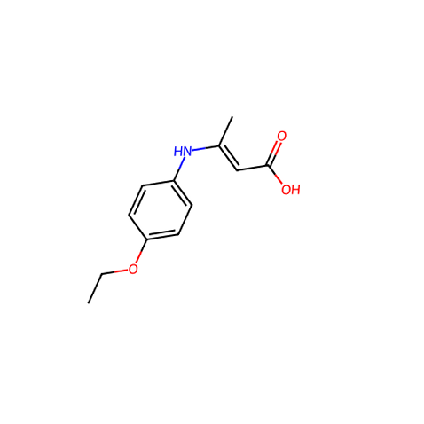 CCOc1ccc(NC(C)=CC(=O)O)cc1